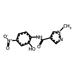 Cn1cc(C(=O)Nc2ccc([N+](=O)[O-])cc2O)cn1